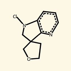 ClN1CC2(CCOC2)c2ncccc21